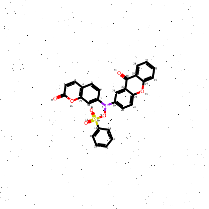 O=c1ccc2ccc([I+](OS(=O)(=O)c3ccccc3)c3ccc4oc5ccccc5c(=O)c4c3)cc2o1